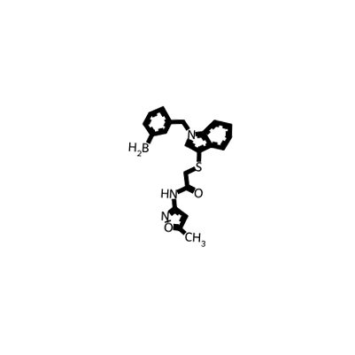 Bc1cccc(Cn2cc(SCC(=O)Nc3cc(C)on3)c3ccccc32)c1